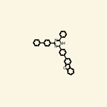 c1ccc(C2=NC(c3ccc(-c4ccccc4)cc3)=NC(c3ccc(-c4ccc5c(c4)oc4ccccc45)cc3)N2)cc1